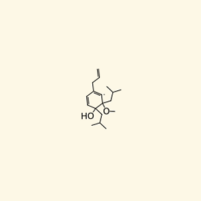 C=CCC1=[C]C(CC(C)C)(OC)C(O)(CC(C)C)C=C1